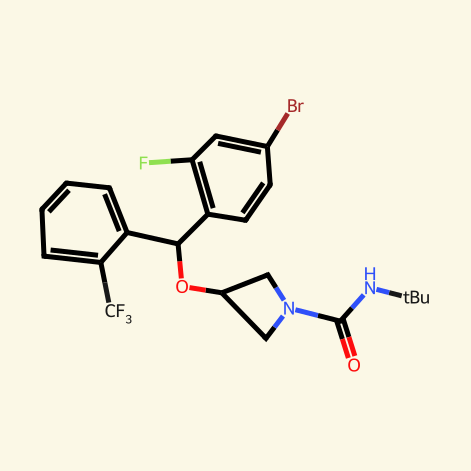 CC(C)(C)NC(=O)N1CC(OC(c2ccc(Br)cc2F)c2ccccc2C(F)(F)F)C1